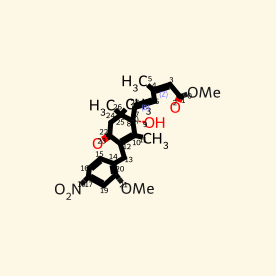 COC(=O)/C=C(C)\C=C\[C@@]1(O)C(C)=C(Cc2ccc([N+](=O)[O-])cc2OC)C(=O)CC1(C)C